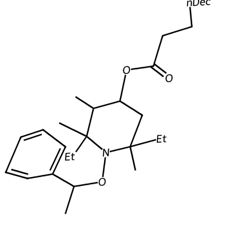 CCCCCCCCCCCCC(=O)OC1CC(C)(CC)N(OC(C)c2ccccc2)C(C)(CC)C1C